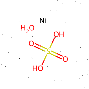 O.O=S(=O)(O)O.[Ni]